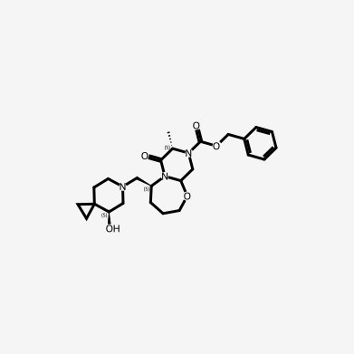 C[C@H]1C(=O)N2C(CN1C(=O)OCc1ccccc1)OCCC[C@H]2CN1CCC2(CC2)[C@H](O)C1